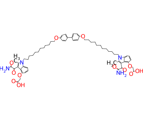 Cc1c(C(=O)C(N)=O)c2c(OCC(=O)O)cccc2n1CCCCCCCCCCCCOc1ccc(-c2ccc(OCCCCCCCCCCCCn3c(C)c(C(=O)C(N)=O)c4c(OCC(=O)O)cccc43)cc2)cc1